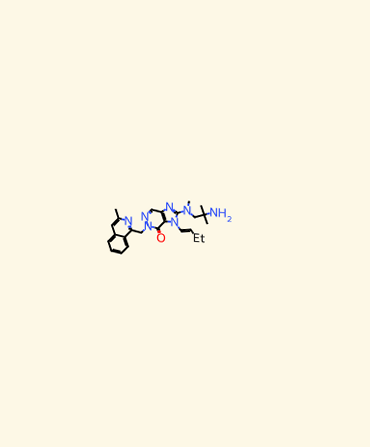 CCC=Cn1c(N(C)CC(C)(C)N)nc2cnn(Cc3nc(C)cc4ccccc34)c(=O)c21